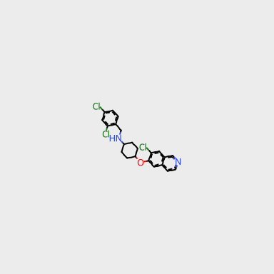 Clc1ccc(CNC2CCC(Oc3cc4ccncc4cc3Cl)CC2)c(Cl)c1